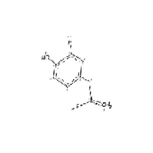 C=C(F)Cc1ccc(O)c(F)c1